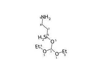 CCOC(OCC)O[SiH2]CCN